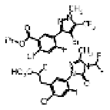 CC(C)OC(=O)c1cc(-c2nn(C)c(C(F)(F)F)c2Br)c(F)cc1Cl.Cc1nn(-c2cc(CC(Cl)C(=O)O)c(Cl)cc2F)c(=O)n1C(F)F